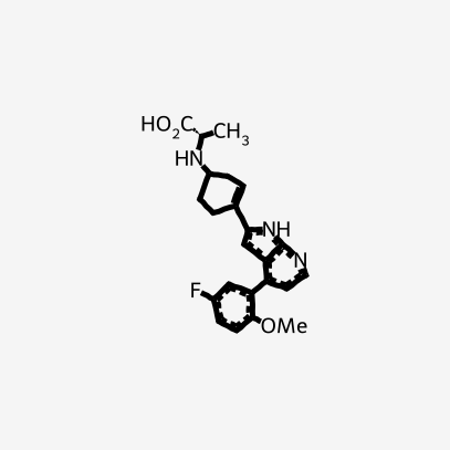 COc1ccc(F)cc1-c1ccnc2[nH]c(C3=CCC(N[C@@H](C)C(=O)O)CC3)cc12